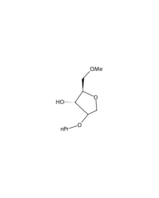 CCCOC1CO[C@H](COC)[C@H]1O